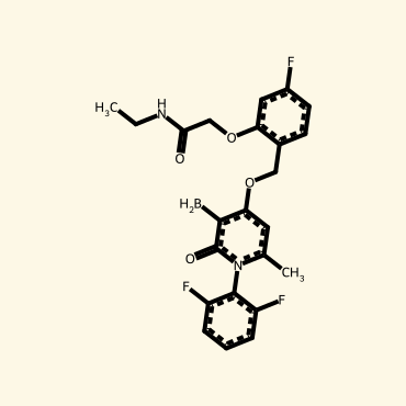 Bc1c(OCc2ccc(F)cc2OCC(=O)NCC)cc(C)n(-c2c(F)cccc2F)c1=O